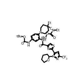 CCN(CC1(CC)CCN(c2ccc(NC(=O)OC(C)(C)C)cc2NC(=O)c2csc(-c3cc(C(F)(F)F)nn3C3CCCCO3)n2)CC1)C(=O)OC(C)(C)C